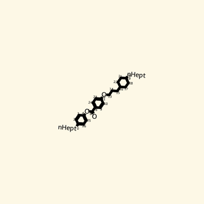 CCCCCCCc1ccc(OC(=O)c2ccc(OCCCC3CCC(CCCCCCC)CC3)cc2)cc1